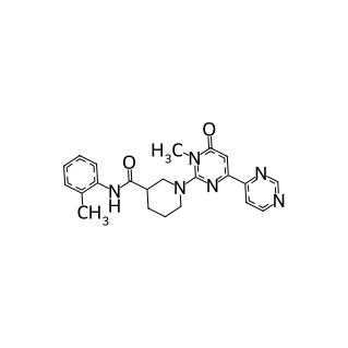 Cc1ccccc1NC(=O)C1CCCN(c2nc(-c3ccncn3)cc(=O)n2C)C1